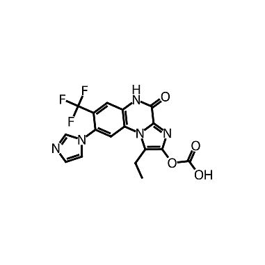 CCc1c(OC(=O)O)nc2c(=O)[nH]c3cc(C(F)(F)F)c(-n4ccnc4)cc3n12